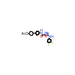 CC(=O)OC1CCC(c2ccc(NC(=O)c3nnc(Nc4ccc(F)c(F)c4)o3)cc2)CC1